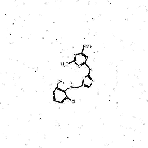 CNc1cc(Nc2ncc(CNc3c(C)cccc3Cl)s2)nc(C)n1